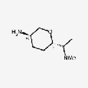 CNC(C)[C@@H]1CC[C@@H](N)CO1